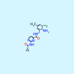 CC1=CC(CF)C(N)C(CNC(=O)c2ccnc(NC(=O)C3CC3)n2)=C1